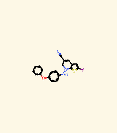 N#CC1=Cc2cc(I)sc2N(Nc2ccc(Oc3ccccc3)cc2)C1